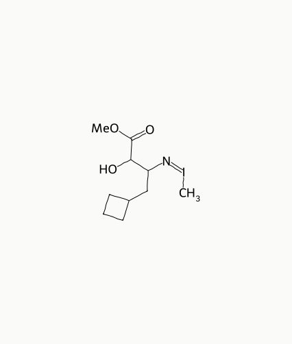 COC(=O)C(O)C(CC1CCC1)/N=I\C